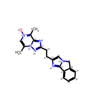 Cc1c[n+]([O-])c(C)c2nc(CCc3cn4c(n3)-c3ccccc3C4)nn12